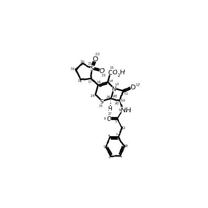 O=C(Cc1ccccc1)N[C@@H]1C(=O)N2C(C(=O)O)=C(C3CCCS3(=O)=O)CS[C@H]12